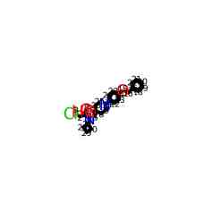 O=C(CCl)N(CC1(O)CCN(c2ccc(OCc3ccccc3)cc2)CC1)C1CCC1